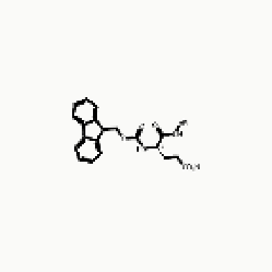 CCCNC(=O)[C@H](CCC(=O)O)NC(=O)OCC1c2ccccc2-c2ccccc21